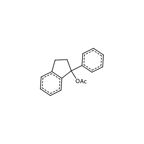 CC(=O)OC1(c2ccccc2)CCc2ccccc21